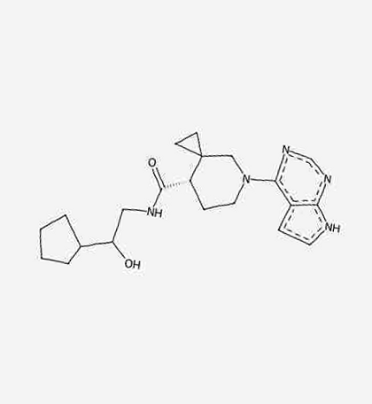 O=C(NCC(O)C1CCCC1)[C@H]1CCN(c2ncnc3[nH]ccc23)CC12CC2